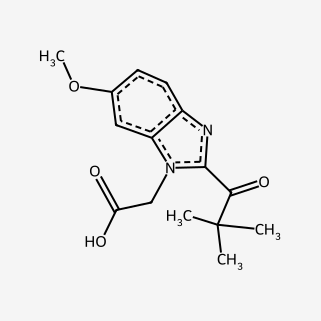 COc1ccc2nc(C(=O)C(C)(C)C)n(CC(=O)O)c2c1